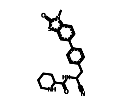 Cn1c(=O)sc2cc(-c3ccc(CC(C#N)NC(=O)C4CCCCN4)cc3)ccc21